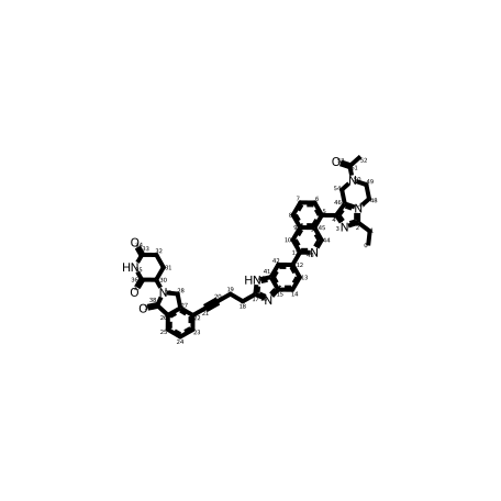 CCc1nc(-c2cccc3cc(-c4ccc5nc(CCC#Cc6cccc7c6CN(C6CCC(=O)NC6=O)C7=O)[nH]c5c4)ncc23)c2n1CCN(C(C)=O)C2